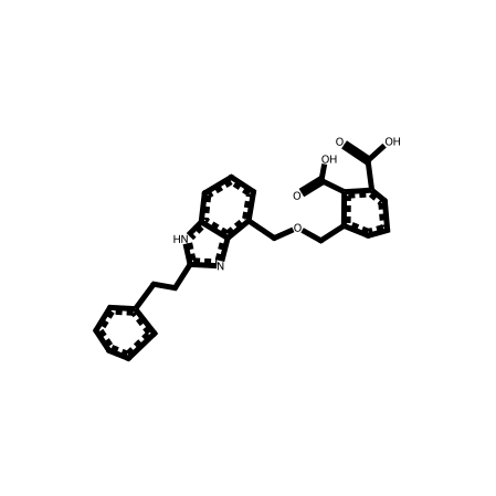 O=C(O)c1cccc(COCc2cccc3[nH]c(CCc4ccccc4)nc23)c1C(=O)O